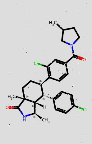 CC1CCN(C(=O)c2ccc([C@@H]3CC[C@@]4(C)C(=O)N[C@H](C)[C@H]4[C@H]3c3ccc(Cl)cc3)c(Cl)c2)C1